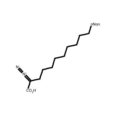 CCCCCCCCCCCCCCCCCCC(=[N+]=[N-])C(=O)O